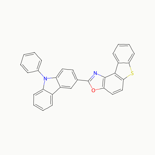 c1ccc(-n2c3ccccc3c3cc(-c4nc5c(ccc6sc7ccccc7c65)o4)ccc32)cc1